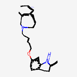 C=C1CCc2ccc(OCCCCN3CCC(/C=C\C)=C(C)C3)cc2N1